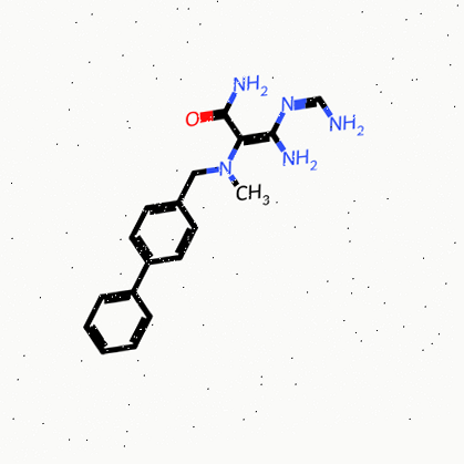 CN(Cc1ccc(-c2ccccc2)cc1)/C(C(N)=O)=C(N)/N=C\N